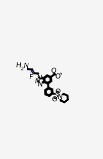 COC(=O)c1cc(-c2cccc(S(=O)(=O)N3CCCCC3)c2)c2nnn(C/C(F)=C/CN)c2c1